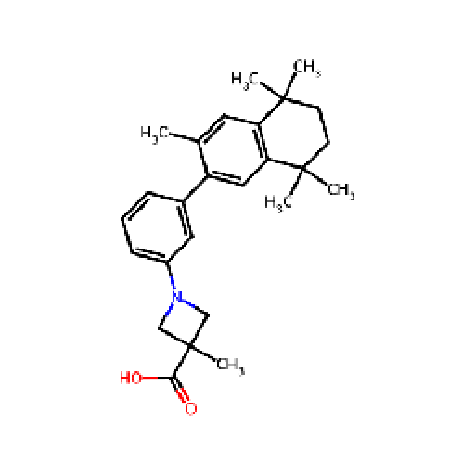 Cc1cc2c(cc1-c1cccc(N3CC(C)(C(=O)O)C3)c1)C(C)(C)CCC2(C)C